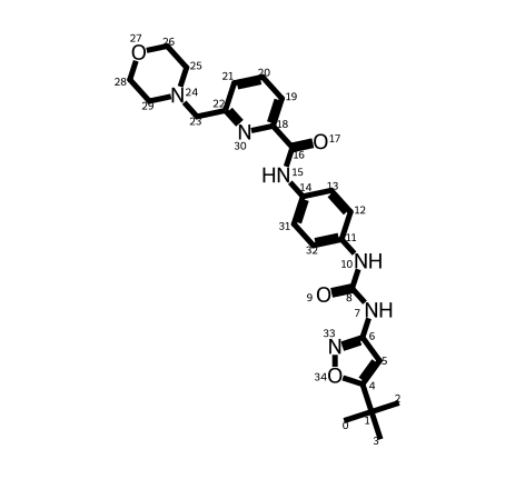 CC(C)(C)c1cc(NC(=O)Nc2ccc(NC(=O)c3cccc(CN4CCOCC4)n3)cc2)no1